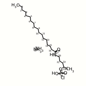 CCCCCCCCCCCCCCCCCC(=O)NCCCC(C)OP(=O)(O)Cl.N.N